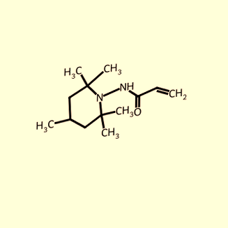 C=CC(=O)NN1C(C)(C)CC(C)CC1(C)C